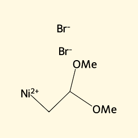 COC([CH2][Ni+2])OC.[Br-].[Br-]